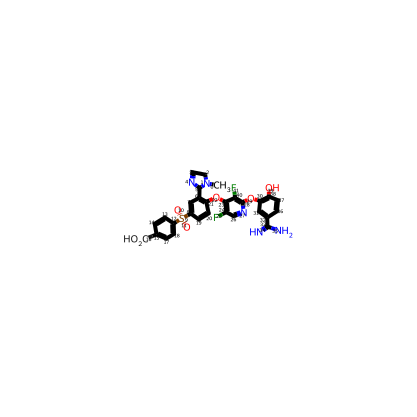 CN1CC=NC1c1cc(S(=O)(=O)c2ccc(C(=O)O)cc2)ccc1Oc1c(F)cnc(Oc2cc(C(=N)N)ccc2O)c1F